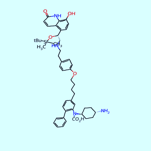 CC(C)(C)[Si](C)(C)O[C@@H](CNCCc1ccc(OCCCCc2ccc(-c3ccccc3)c(N(C(=O)O)[C@H]3CC[C@H](N)CC3)c2)cc1)c1ccc(O)c2[nH]c(=O)ccc12